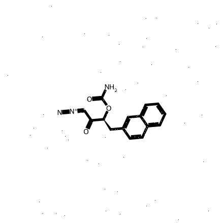 [N-]=[N+]=CC(=O)[C@H](Cc1ccc2ccccc2c1)OC(N)=O